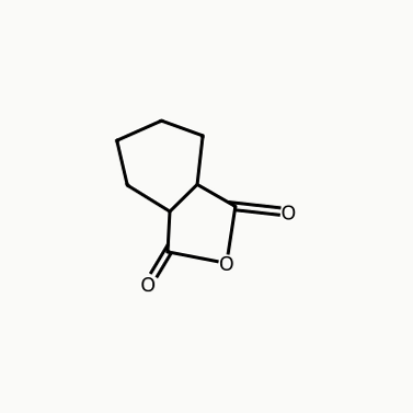 O=C1OC(=O)C2CCCCC12